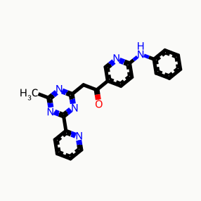 Cc1nc(CC(=O)c2ccc(Nc3ccccc3)nc2)nc(-c2ccccn2)n1